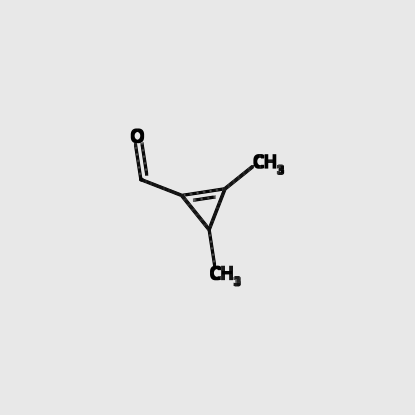 CC1=C(C=O)C1C